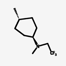 CN(CC(F)(F)F)[C@H]1CC[C@H](C)CC1